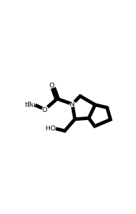 CC(C)(C)OC(=O)N1CC2CCCC2C1CO